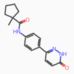 CC1(C(=O)Nc2ccc(-c3ccc(=O)[nH]n3)cc2)CCCC1